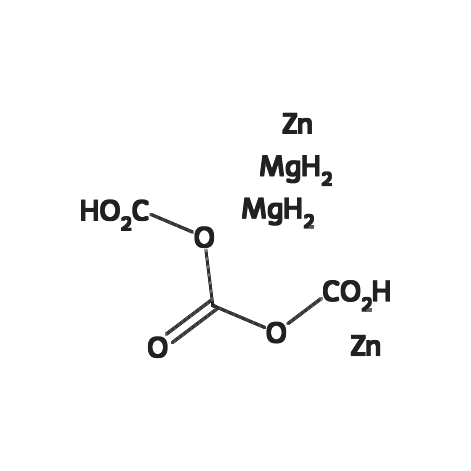 O=C(O)OC(=O)OC(=O)O.[MgH2].[MgH2].[Zn].[Zn]